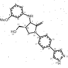 C=C1C(Nc2cccc(OC)c2)[C@H](CO)CN1c1ccc(-c2cn[nH]c2)cc1